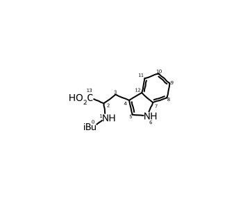 CCC(C)NC(Cc1c[nH]c2ccccc12)C(=O)O